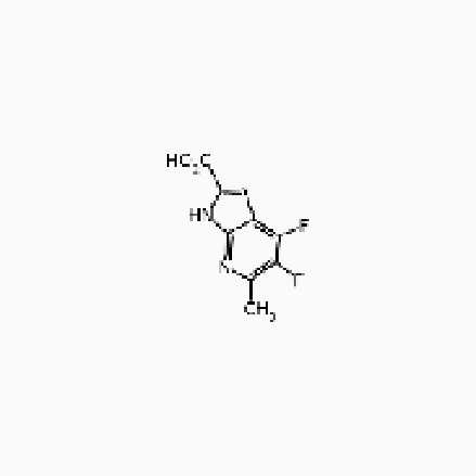 Cc1nc2[nH]c(C(=O)O)cc2c(F)c1F